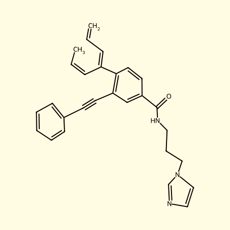 C=C/C=C(\C=C/C)c1ccc(C(=O)NCCCn2ccnc2)cc1C#Cc1ccccc1